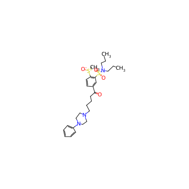 CCCN(CCC)S(=O)(=O)c1cc(C(=O)CCCCN2CCN(c3ccccc3)CC2)ccc1[S+](C)[O-]